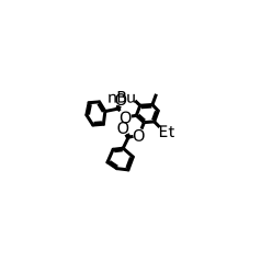 CCCCc1c(C)cc(CC)c(OC(=O)c2ccccc2)c1OC(=O)c1ccccc1